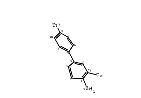 Bc1ccc(-c2ccc(CC)cc2)cc1F